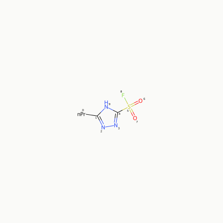 CCCc1nnc(S(=O)(=O)F)[nH]1